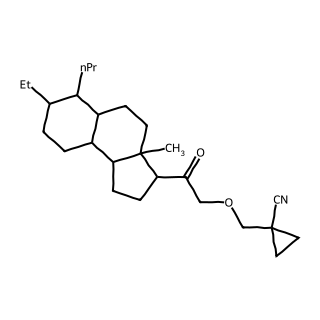 CCCC1C(CC)CCC2C1CCC1(C)C(C(=O)COCC3(C#N)CC3)CCC21